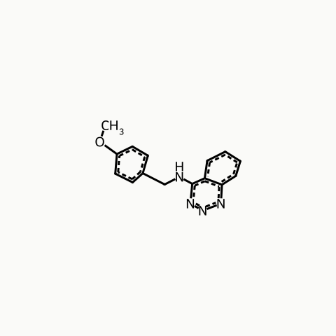 COc1ccc(CNc2nnnc3ccccc23)cc1